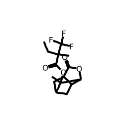 CCC(C)(C(=O)OC1(C)C2CC3C(=O)OC1C3C2)C(F)(F)F